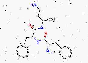 NCC[C@H](NC(=O)[C@H](Cc1ccccc1)NC(=O)[C@@H](N)Cc1ccccc1)C(=O)O